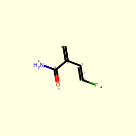 C=C(/C=C/F)C(N)=O